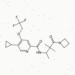 CC(NC(=O)c1cc(OCC(F)(F)F)c(C2CC2)cn1)C(C)(C)C(=O)N1CCC1